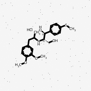 COc1ccc(CC(C)N[C@@H](CO)[C@@H](O)c2ccc(SC)cc2)cc1OC.Cl